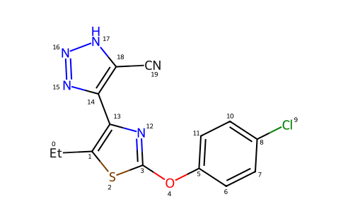 CCc1sc(Oc2ccc(Cl)cc2)nc1-c1nn[nH]c1C#N